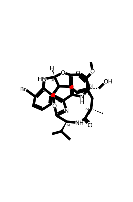 COC(=O)[C@H](CO)NC(=O)c1nc2oc1C13c4cc(ccc4O[C@@H]1Nc1c(Br)cccc13)C[C@H](C)C(=O)N[C@H]2C(C)C